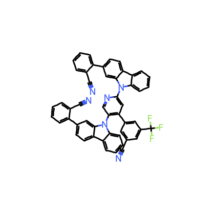 N#Cc1cc(-c2cc(-n3c4ccccc4c4ccc(-c5ccccc5C#N)cc43)ncc2-n2c3ccccc3c3ccc(-c4ccccc4C#N)cc32)cc(C(F)(F)F)c1